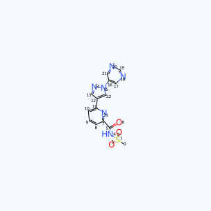 CS(=O)(=O)NC(=O)c1cccc(-c2cnn(-c3cncnc3)c2)n1